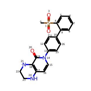 CS(=O)(=O)c1ccccc1-c1ccc(-n2ccc3c(c2=O)[N]CCN3)cc1